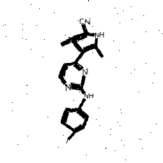 Cc1[nH]c(C#N)c(C)c1-c1ccnc(Nc2ccc(I)cc2)n1